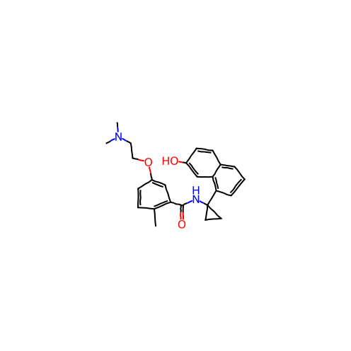 Cc1ccc(OCCN(C)C)cc1C(=O)NC1(c2cccc3ccc(O)cc23)CC1